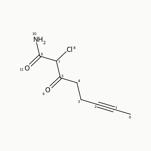 CC#CCCC(=O)C(Cl)C(N)=O